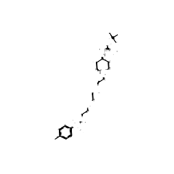 Cc1ccc(S(=O)(=O)OCCOCCOCCN2CCC(NC(=O)OC(C)(C)C)CC2)cc1